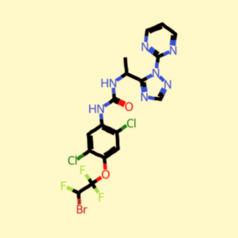 CC(NC(=O)Nc1cc(Cl)c(OC(F)(F)C(F)Br)cc1Cl)c1ncnn1-c1ncccn1